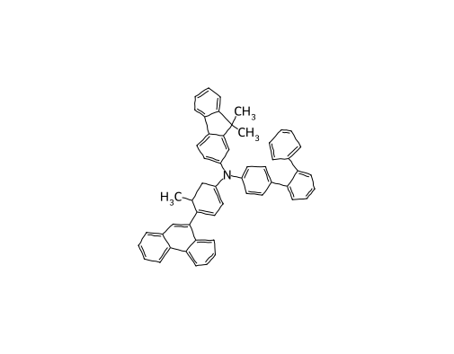 CC1CC(N(c2ccc(-c3ccccc3-c3ccccc3)cc2)c2ccc3c(c2)C(C)(C)c2ccccc2-3)=CC=C1c1cc2ccccc2c2ccccc12